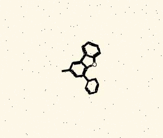 Cc1cc(C2C=CC=CC2)c2oc3ccccc3c2c1